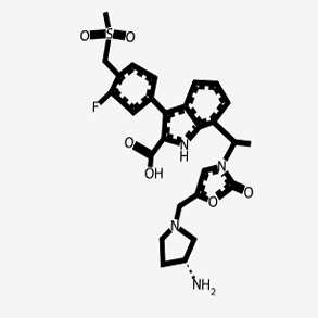 CC(c1cccc2c(-c3ccc(CS(C)(=O)=O)c(F)c3)c(C(=O)O)[nH]c12)n1cc(CN2CC[C@@H](N)C2)oc1=O